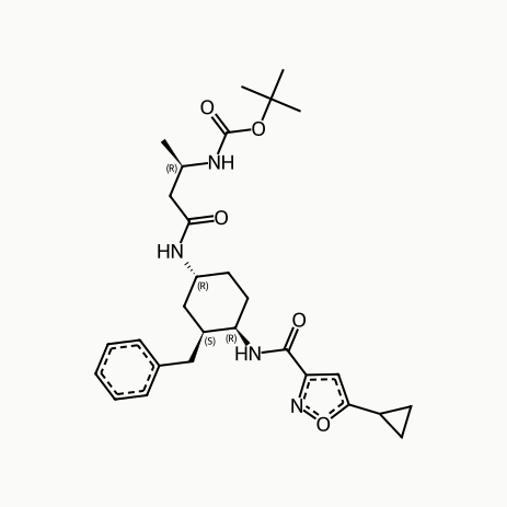 C[C@H](CC(=O)N[C@@H]1CC[C@@H](NC(=O)c2cc(C3CC3)on2)[C@@H](Cc2ccccc2)C1)NC(=O)OC(C)(C)C